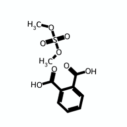 COS(=O)(=O)OC.O=C(O)c1ccccc1C(=O)O